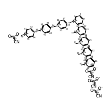 C[n+]1ccccc1.C[n+]1ccccc1.C[n+]1ccccc1.C[n+]1ccccc1.C[n+]1ccccc1.C[n+]1ccccc1.C[n+]1ccccc1.C[n+]1ccccc1.N#CB([O-])[O-].N#CB([O-])[O-].N#CB([O-])[O-].N#CB([O-])[O-]